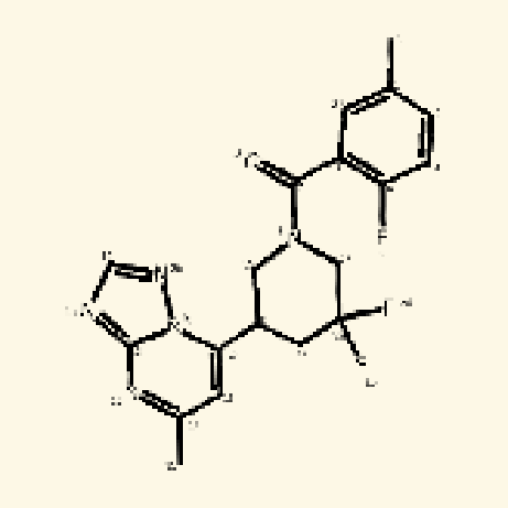 Cc1ccc(F)c(C(=O)N2CC(c3cc(C)nc4ncnn34)CC(F)(F)C2)c1